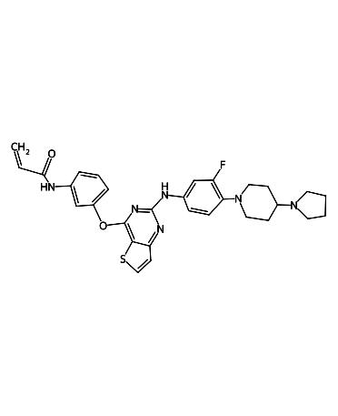 C=CC(=O)Nc1cccc(Oc2nc(Nc3ccc(N4CCC(N5CCCC5)CC4)c(F)c3)nc3ccsc23)c1